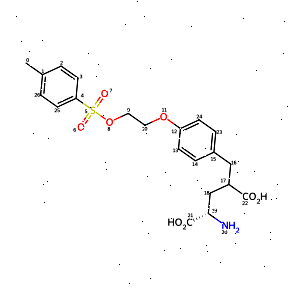 Cc1ccc(S(=O)(=O)OCCOc2ccc(CC(C[C@H](N)C(=O)O)C(=O)O)cc2)cc1